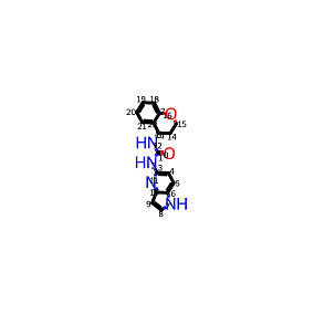 O=C(Nc1ccc2[nH]ccc2n1)N[C@H]1CCOc2ccccc21